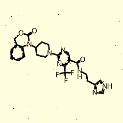 O=C(NCCc1c[nH]cn1)c1cnc(N2CCC(N3C(=O)OCc4ccccc43)CC2)nc1C(F)(F)F